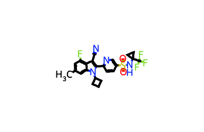 Cc1cc(F)c2c(C#N)c(-c3ccc(S(=O)(=O)NC4(C(F)(F)F)CC4)cn3)n(C3CCC3)c2c1